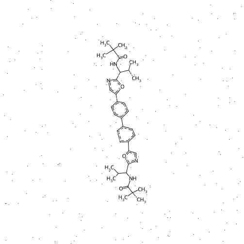 CC(C)C(NC(=O)C(C)(C)C)c1ncc(-c2ccc(-c3ccc(-c4cnc(C(NC(=O)C(C)(C)C)C(C)C)o4)cc3)cc2)o1